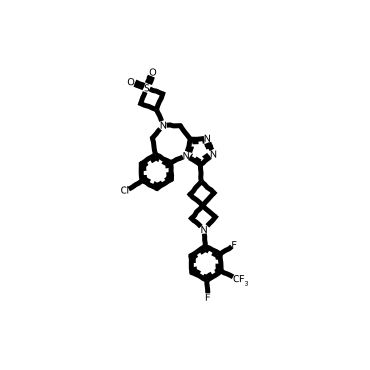 O=S1(=O)CC(N2Cc3cc(Cl)ccc3-n3c(nnc3C3CC4(C3)CN(c3ccc(F)c(C(F)(F)F)c3F)C4)C2)C1